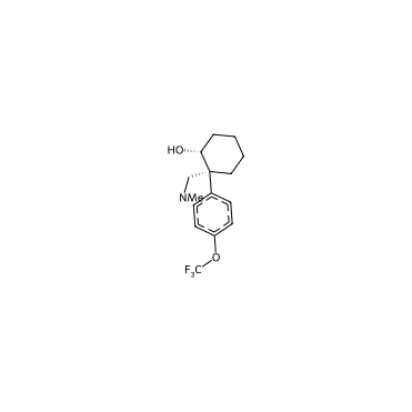 CNC[C@@]1(c2ccc(OC(F)(F)F)cc2)CCCC[C@H]1O